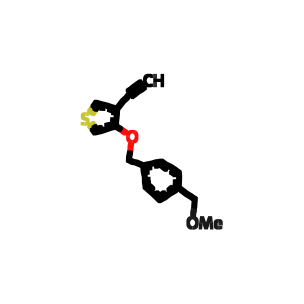 C#Cc1cscc1OCc1ccc(COC)cc1